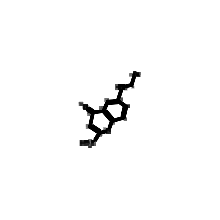 CC(=O)CNc1ccc2oc(C(=O)O)cc(=O)c2c1